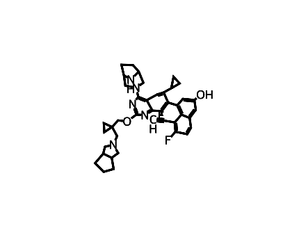 C#Cc1c(F)ccc2cc(O)cc(-c3c(C4CC4)cc4c(N5CC6CCC(C5)N6)nc(OCC5(CN6CC7CCCC7C6)CC5)nc4c3F)c12